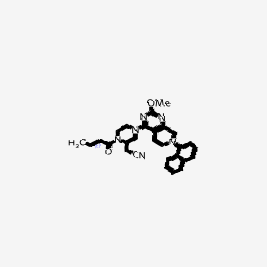 C/C=C/C(=O)N1CCN(c2nc(OC)nc3c2CCN(c2cccc4ccccc24)C3)CC1CC#N